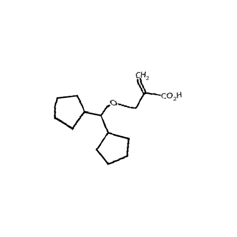 C=C(COC(C1CCCC1)C1CCCC1)C(=O)O